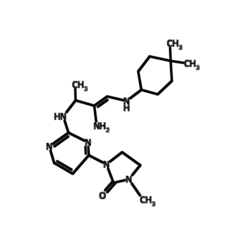 CC(Nc1nccc(N2CCN(C)C2=O)n1)/C(N)=C/NC1CCC(C)(C)CC1